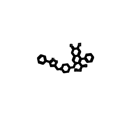 COC(=O)C1=C(c2ccccc2)C2=CC(Cl)C(=O)CC2=CN1CC1CCN(Cc2cc(-c3ccccc3)no2)CC1